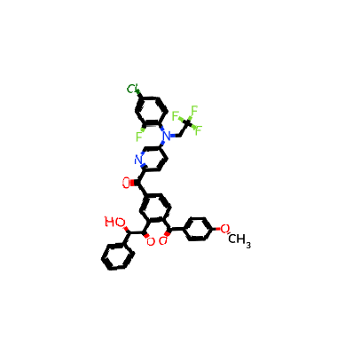 COc1ccc(C(=O)c2ccc(C(=O)c3ccc(N(CC(F)(F)F)c4ccc(Cl)cc4F)cn3)cc2C(=O)C(O)c2ccccc2)cc1